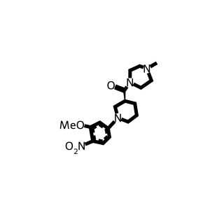 COc1cc(N2CCC[C@H](C(=O)N3CCN(C)CC3)C2)ccc1[N+](=O)[O-]